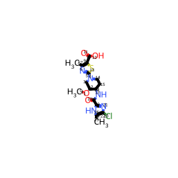 CO[C@H]1CN(c2nc(C)c(C(=O)O)s2)CC[C@H]1NC(=O)c1nc(Cl)c(C)[nH]1